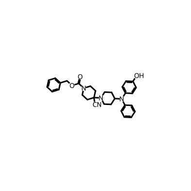 N#CC1(N2CCC(N(c3ccccc3)c3ccc(O)cc3)CC2)CCN(C(=O)OCc2ccccc2)CC1